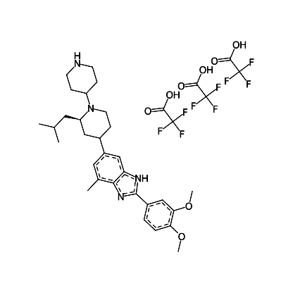 COc1ccc(-c2nc3c(C)cc(C4CCN(C5CCNCC5)[C@H](CC(C)C)C4)cc3[nH]2)cc1OC.O=C(O)C(F)(F)F.O=C(O)C(F)(F)F.O=C(O)C(F)(F)F